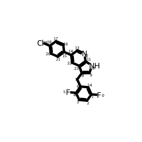 Fc1ccc(F)c(Cc2c[nH]c3ncc(-c4ccc(Cl)cc4)cc23)c1